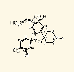 CN1CCC2(CC1)SC(c1ccc(Cl)c(Cl)c1)c1ccccc12.O=C(O)C=CC(=O)O